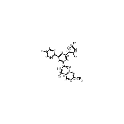 Cc1ccc(-c2cc(C(=O)N[C@H](C)c3ccc(C(F)(F)F)nc3)cc(-c3oc(C)nc3C)c2)nc1